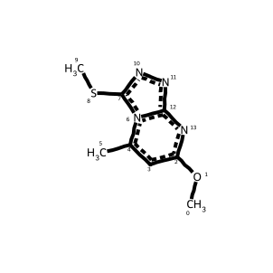 COc1cc(C)n2c(SC)nnc2n1